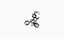 Nc1cc(C(F)F)c(C2=NC(N3CCOCC3)NC(N3C4CCC3COC4)=N2)cn1